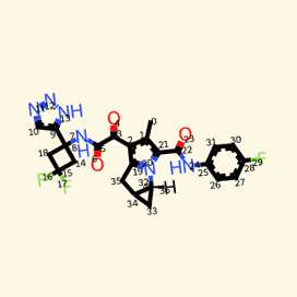 Cc1c(C(=O)C(=O)NC2(c3cnn[nH]3)CC(F)(F)C2)c2n(c1C(=O)Nc1ccc(F)cc1)[C@@H]1CC1C2